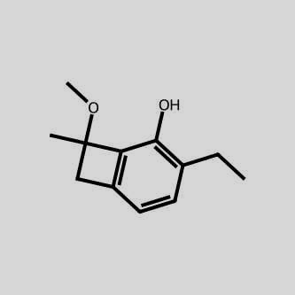 CCc1ccc2c(c1O)C(C)(OC)C2